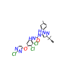 C#CC(C)(C)c1cc(NC(=O)Nc2ccc(Oc3ccnc(Cl)n3)c(Cl)c2Cl)n(-c2ccc(C)cc2)n1